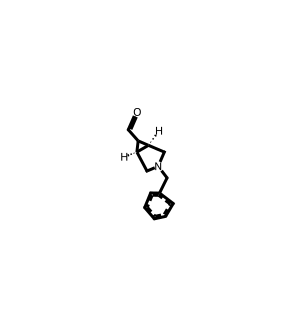 O=CC1[C@H]2CN(Cc3ccccc3)C[C@@H]12